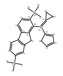 C[Si](C)(C)c1ccc2c(c1)Cc1c-2ccc([Si](C)(C)C)[c]1[Zr]([C]1=CC=CC1)=[C]1CC1